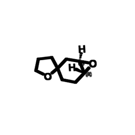 C1COC2(C1)CC[C@H]1O[C@@H]1C2